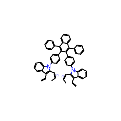 C=Cc1c(/C=C\C)n(-c2ccc(-c3c(-c4ccc(-n5c(/C=C\C)c(C=C)c6ccccc65)cc4)c(-c4ccccc4)c4ccccc4c3-c3ccccc3)cc2)c2ccccc12